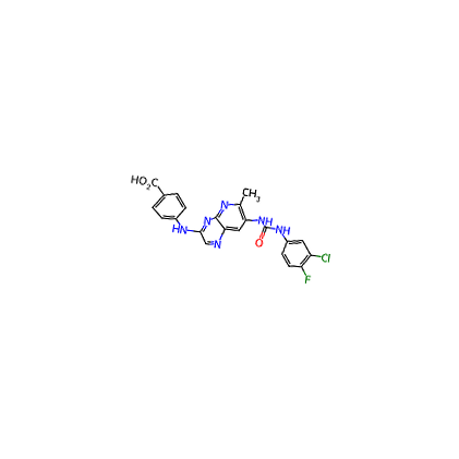 Cc1nc2nc(Nc3ccc(C(=O)O)cc3)cnc2cc1NC(=O)Nc1ccc(F)c(Cl)c1